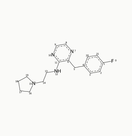 Fc1ccc(Cc2nccnc2NCCN2CCCC2)cc1